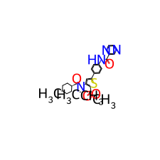 COC(=O)c1sc(-c2ccc(NC(=O)c3cnccn3)cc2)cc1N(C(=O)[C@H]1CC[C@H](C)CC1)C(C)C